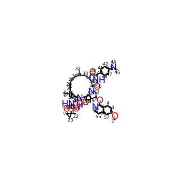 COc1ccc2c(O[C@@H]3C[C@H]4C(=O)N[C@]5(C(=O)NS(=O)(=O)C6(C)CC6)C[C@H]5/C=C\CC[C@@H](C)C[C@@H](C)[C@H](NC(=O)c5ccc(N(C)C)cc5)C(=O)N4C3)nccc2c1